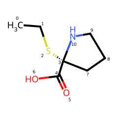 CCS[C@@]1(C(=O)O)CCCN1